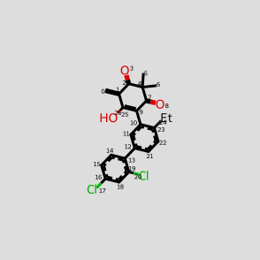 C=C1C(=O)C(C)(C)C(=O)C(c2cc(-c3ccc(Cl)cc3Cl)ccc2CC)=C1O